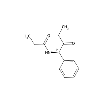 CCC(=O)N[C@@H](C(=O)CC)c1ccccc1